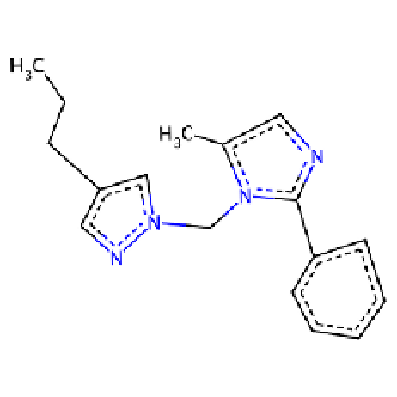 CCCc1cnn(Cn2c(C)cnc2-c2ccccc2)c1